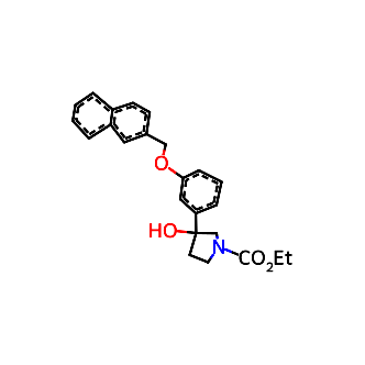 CCOC(=O)N1CCC(O)(c2cccc(OCc3ccc4ccccc4c3)c2)C1